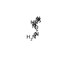 Cc1nc(NCc2nnc(C)s2)cc(OC[C@H]2C[C@@H]2c2ccc(N)cn2)n1